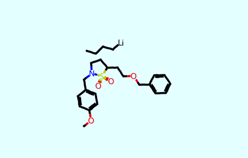 COc1ccc(CN2CCC(CCOCc3ccccc3)S2(=O)=O)cc1.[Li][CH2]CCC